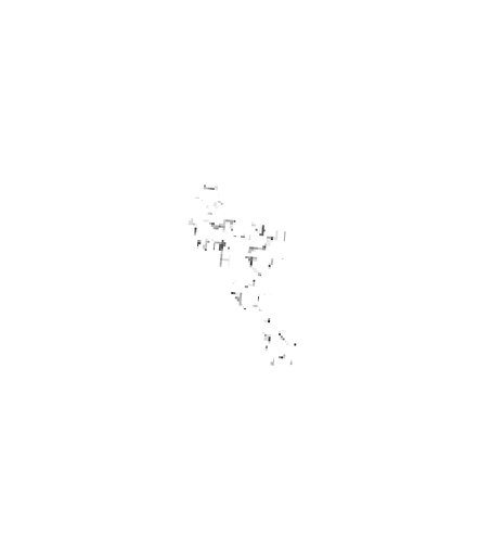 Cc1ccc(-c2ccnc3[nH]c(-c4n[nH]c5ccc(-c6cncc(OCc7ccccc7)c6)nc45)nc23)s1